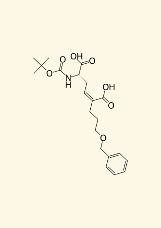 CC(C)(C)OC(=O)N[C@@H](CC=C(CCCOCc1ccccc1)C(=O)O)C(=O)O